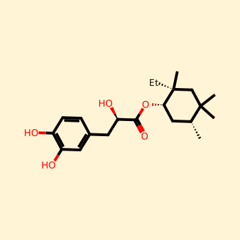 CC[C@]1(C)CC(C)(C)[C@H](C)C[C@@H]1OC(=O)[C@H](O)Cc1ccc(O)c(O)c1